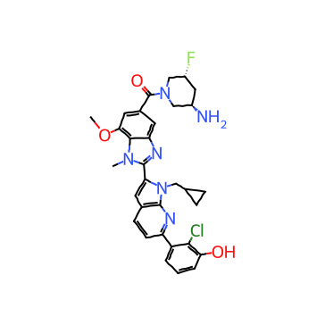 COc1cc(C(=O)N2C[C@H](N)C[C@@H](F)C2)cc2nc(-c3cc4ccc(-c5cccc(O)c5Cl)nc4n3CC3CC3)n(C)c12